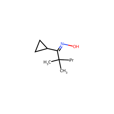 CC(C)C(C)(C)C(=NO)C1CC1